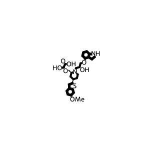 COc1ccc2cc([C@@H]3CCN(C[C@H](O)COc4cccc5[nH]ccc45)[C@H](C)C3)sc2c1.O=C(O)C(=O)O